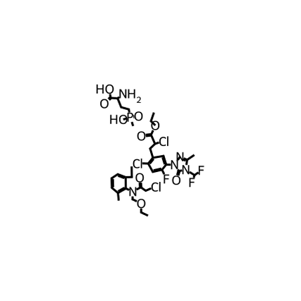 CCOC(=O)C(Cl)Cc1cc(-n2nc(C)n(C(F)F)c2=O)c(F)cc1Cl.CCOCN(C(=O)CCl)c1c(C)cccc1CC.CP(=O)(O)CCC(N)C(=O)O